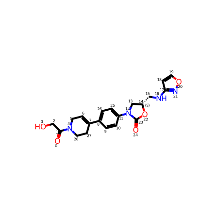 O=C(CO)N1CC=C(c2ccc(N3C[C@H](CNc4ccon4)OC3=O)cc2)CC1